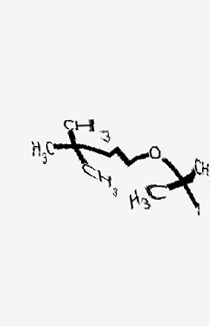 CC(C)(C)CCOC(C)(C)I